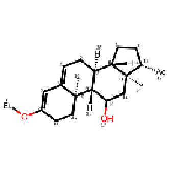 CCOC1=CC2=CC[C@H]3[C@@H]4CC[C@H](C(C)=O)[C@@]4(C)CC(O)[C@@H]3[C@@]2(C)CC1